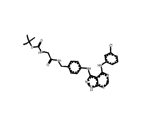 CC(C)(C)OC(=O)NCC(=O)NCc1ccc(Nc2n[nH]c3ncnc(Nc4cccc(Cl)c4)c23)cc1